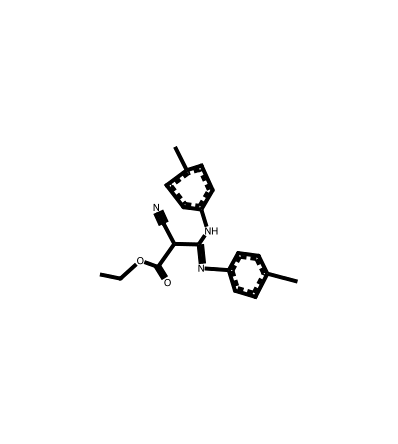 CCOC(=O)C(C#N)C(=Nc1ccc(C)cc1)Nc1ccc(C)cc1